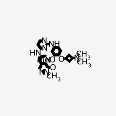 COc1cc(Nc2nccc(Nc3cnc4c(=O)n(C)ncc4c3)n2)ccc1OC1CC(N(C)C)C1